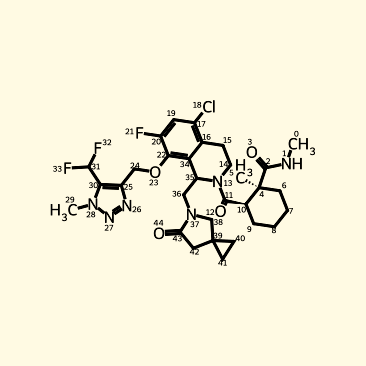 CNC(=O)[C@@]1(C)CCCC[C@H]1C(=O)N1CCc2c(Cl)cc(F)c(OCc3nnn(C)c3C(F)F)c2C1CN1CC2(CC2)CC1=O